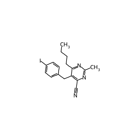 CCCCc1nc(C)nc(C#N)c1Cc1ccc(I)cc1